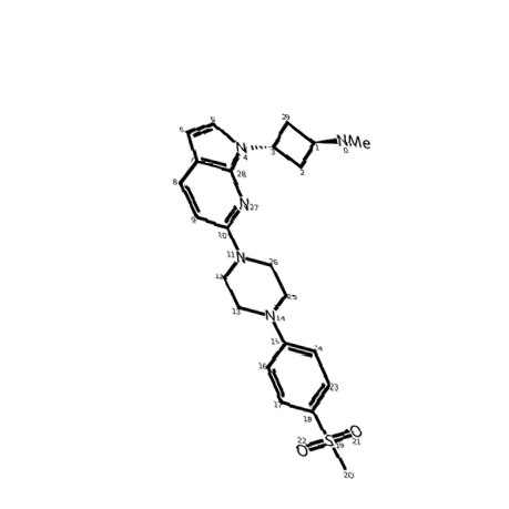 CN[C@H]1C[C@H](n2ccc3ccc(N4CCN(c5ccc(S(C)(=O)=O)cc5)CC4)nc32)C1